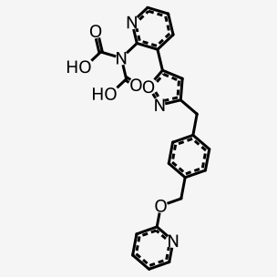 O=C(O)N(C(=O)O)c1ncccc1-c1cc(Cc2ccc(COc3ccccn3)cc2)no1